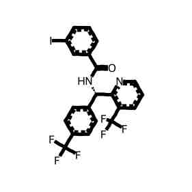 O=C(N[C@@H](c1ccc(C(F)(F)F)cc1)c1ncccc1C(F)(F)F)c1cccc(I)c1